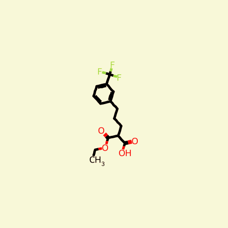 CCOC(=O)C(CCCc1cccc(C(F)(F)F)c1)C(=O)O